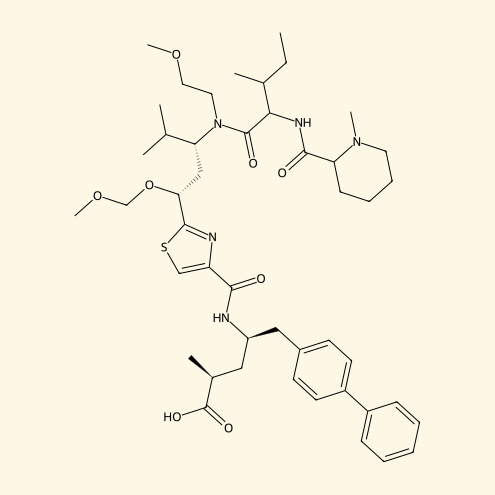 CCC(C)C(NC(=O)C1CCCCN1C)C(=O)N(CCOC)[C@H](C[C@@H](OCOC)c1nc(C(=O)N[C@@H](Cc2ccc(-c3ccccc3)cc2)C[C@H](C)C(=O)O)cs1)C(C)C